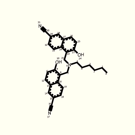 CCCCCCN(Cc1c(O)ccc2cc(C#N)ccc12)Cc1c(O)ccc2cc(C#N)ccc12